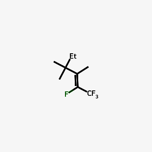 CCC(C)(C)/C(C)=C(\F)C(F)(F)F